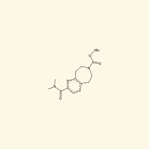 CN(C)C(=O)c1ccc2c(n1)CCN(C(=O)OC(C)(C)C)CC2